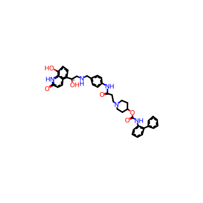 O=C(CCN1CCC(OC(=O)Nc2ccccc2-c2ccccc2)CC1)Nc1ccc(CNC[C@@H](O)c2ccc(O)c3[nH]c(=O)ccc23)cc1